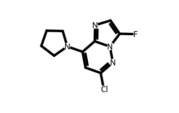 Fc1cnc2c(N3CCCC3)cc(Cl)nn12